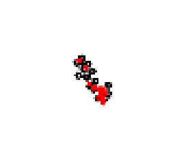 c1ccc(-c2nc(-c3ccc4ccc(-c5cccc6c5-c5ccccc5C65c6ccccc6Oc6ccc(-c7ccccc7-c7cc(-c8cccc9ccccc89)nc(-c8ccccc8)n7)cc65)cc4c3)cc(-c3ccccc3-c3ccc4c(c3)C3(c5ccccc5O4)c4ccccc4-c4ccccc43)n2)cc1